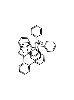 O=P(c1ccccc1)(c1ccccc1)c1cccc2nc3c4ccccc4c4cccc(P(=O)(c5ccccc5)c5ccccc5)c4n3c12